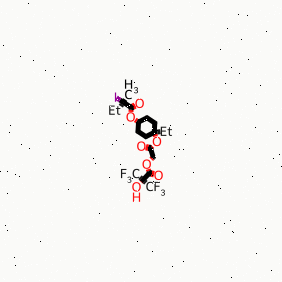 CCC1(OC(=O)COC(=O)C(O)(C(F)(F)F)C(F)(F)F)CCC(OC(=O)C(C)(I)CC)CC1